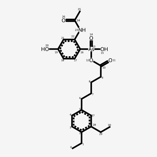 CCc1ccc(CCCCC(=O)O[As](=O)(O)c2ccc(O)cc2NC(C)=O)cc1CC